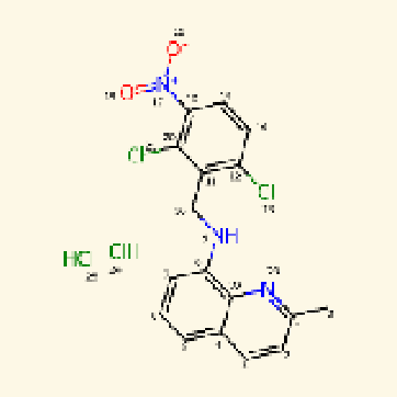 Cc1ccc2cccc(NCc3c(Cl)ccc([N+](=O)[O-])c3Cl)c2n1.Cl.Cl